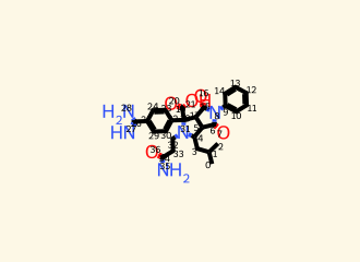 CC(C)CC1C2C(=O)N(c3ccccc3)C(=O)C2C(C(=O)O)(c2ccc(C(=N)N)cc2)N1CCC(N)=O